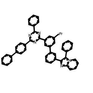 CC(C)c1cc(-c2cccc(-c3nc4ccccn4c3-c3ccccc3)c2)cc(-c2nc(-c3ccccc3)nc(-c3ccc(-c4ccccc4)cc3)n2)c1